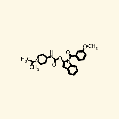 COc1cccc(C(=O)n2c(OC(=O)NC3CCN(C(C)C)CC3)cc3ccccc32)c1